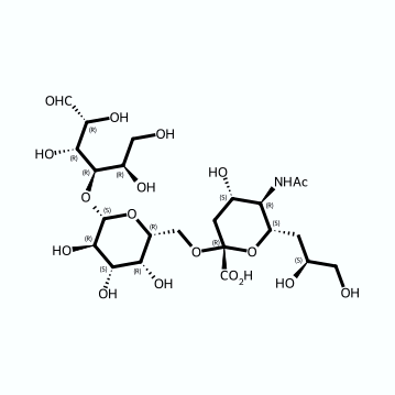 CC(=O)N[C@H]1[C@H](C[C@H](O)CO)O[C@@](OC[C@H]2O[C@@H](O[C@@H]([C@H](O)[C@@H](O)C=O)[C@H](O)CO)[C@H](O)[C@@H](O)[C@H]2O)(C(=O)O)C[C@@H]1O